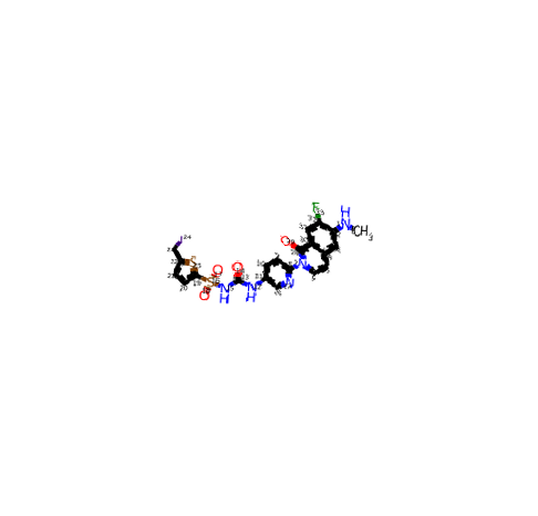 CNc1cc2ccn(-c3ccc(NC(=O)NS(=O)(=O)c4ccc(CI)s4)cn3)c(=O)c2cc1F